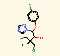 CC(CCl)(CCl)C(O)C(Oc1ccc(Cl)cc1)n1cncn1